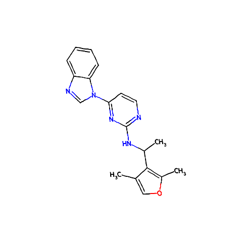 Cc1coc(C)c1C(C)Nc1nccc(-n2cnc3ccccc32)n1